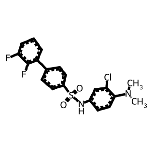 CN(C)c1ccc(NS(=O)(=O)c2ccc(-c3cccc(F)c3F)cc2)cc1Cl